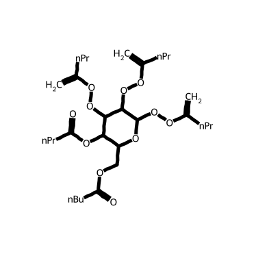 C=C(CCC)OOC1OC(COC(=O)CCCC)C(OC(=O)CCC)C(OOC(=C)CCC)C1OOC(=C)CCC